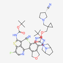 CC(C)(C)OC(=O)Nc1sc2c(F)cnc(-c3c4c(c5c(N6C7CCC6CN(C(=O)OC(C)(C)C)C7)nc(OCC6(CN7CC[C@H](C#N)C7)CC6)nc5c3F)COC4)c2c1C#N